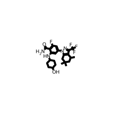 CC1CC(C)(C)Cc2c1c(C(F)(F)F)nn2-c1cc(F)c(C(N)=O)c(NC2CCC(O)CC2)c1